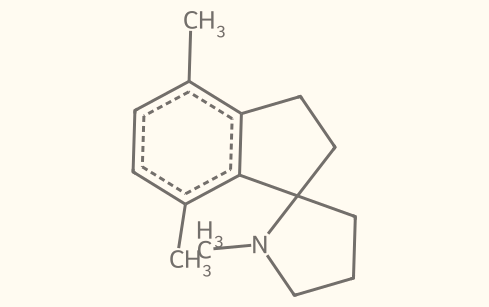 Cc1ccc(C)c2c1CCC21CCCN1C